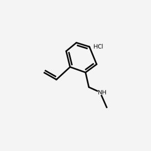 C=Cc1ccccc1CNC.Cl